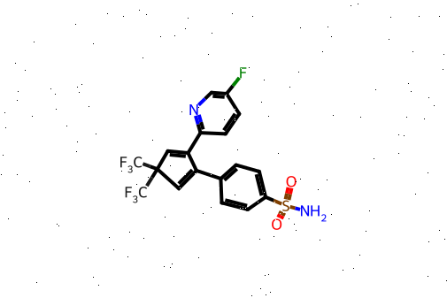 NS(=O)(=O)c1ccc(C2=CC(C(F)(F)F)(C(F)(F)F)C=C2c2ccc(F)cn2)cc1